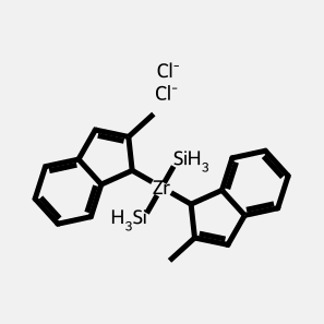 CC1=Cc2ccccc2[CH]1[Zr]([SiH3])([SiH3])[CH]1C(C)=Cc2ccccc21.[Cl-].[Cl-]